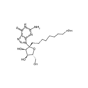 CCCCCCCCCCCCCCCCCC[C@@]1(n2cnc3c(=O)[nH]c(N)nc32)O[C@H](CO)[C@@H](O)[C@H]1O